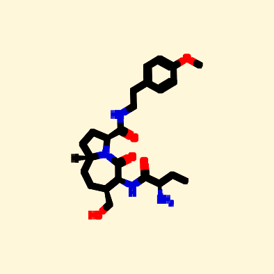 CC[C@H](N)C(=O)N[C@@H]1C(=O)N2[C@@H](CC[C@@H]1CO)CC[C@H]2C(=O)NCCc1ccc(OC)cc1